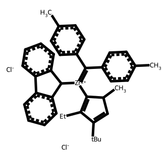 CCC1=[C]([Zr+2](=[C](c2ccc(C)cc2)c2ccc(C)cc2)[CH]2c3ccccc3-c3ccccc32)C(C)C=C1C(C)(C)C.[Cl-].[Cl-]